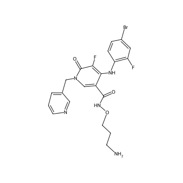 NCCCONC(=O)c1cn(Cc2cccnc2)c(=O)c(F)c1Nc1ccc(Br)cc1F